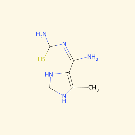 CC1=C(/C(N)=N\C(N)S)NCN1